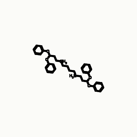 c1ccc(OC(CC[SiH2]CCCC[SiH2]CCC(Oc2ccccc2)Oc2ccccc2)Oc2ccccc2)cc1